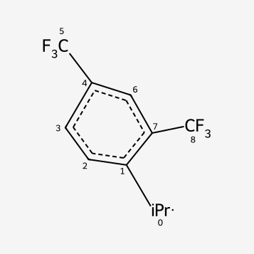 C[C](C)c1ccc(C(F)(F)F)cc1C(F)(F)F